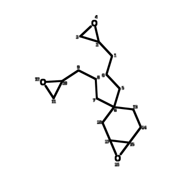 C(CC1CO1)CC1(CCCC2CO2)CCC2OC2C1